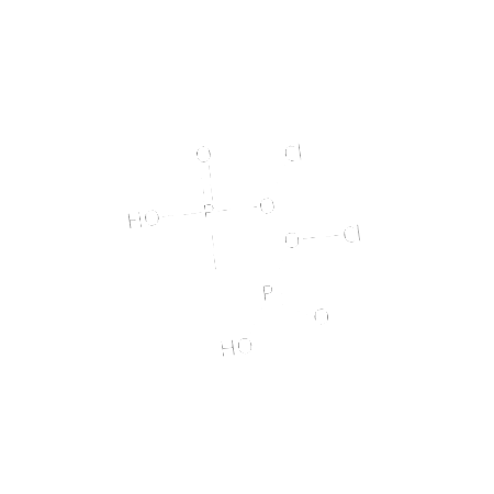 O=P(O)(CP(=O)(O)OCl)OCl